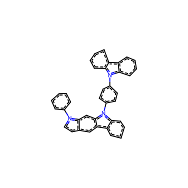 c1ccc(-n2ccc3cc4c5ccccc5n(-c5ccc(-n6c7ccccc7c7ccccc76)cc5)c4cc32)cc1